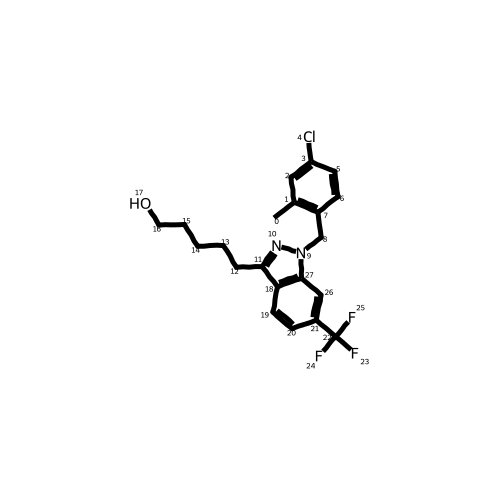 Cc1cc(Cl)ccc1Cn1nc(CCCCCO)c2ccc(C(F)(F)F)cc21